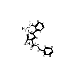 Cc1c[n+](C)c(-c2ccccc2C)cc1C(=O)OCc1ccccc1